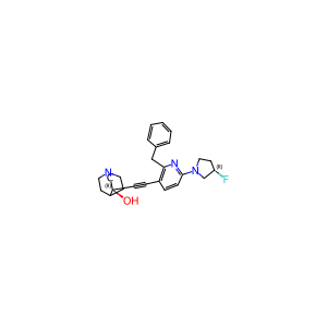 O[C@]1(C#Cc2ccc(N3CC[C@@H](F)C3)nc2Cc2ccccc2)CN2CCC1CC2